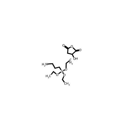 CCO[Si](CCCN)(OCC)OCC.O=C1CC(O)C(=O)O1